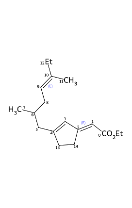 CCOC(=O)/C=C1/C=C(CC(C)C/C=C(\C)CC)CC1